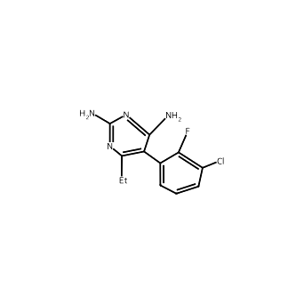 CCc1nc(N)nc(N)c1-c1cccc(Cl)c1F